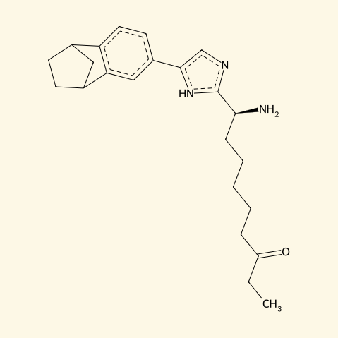 CCC(=O)CCCCC[C@H](N)c1ncc(-c2ccc3c(c2)C2CCC3C2)[nH]1